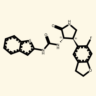 O=C(Nc1cc2ccccc2s1)N[C@@H]1C(=O)NC[C@H]1c1cc2c(cc1F)OCC2